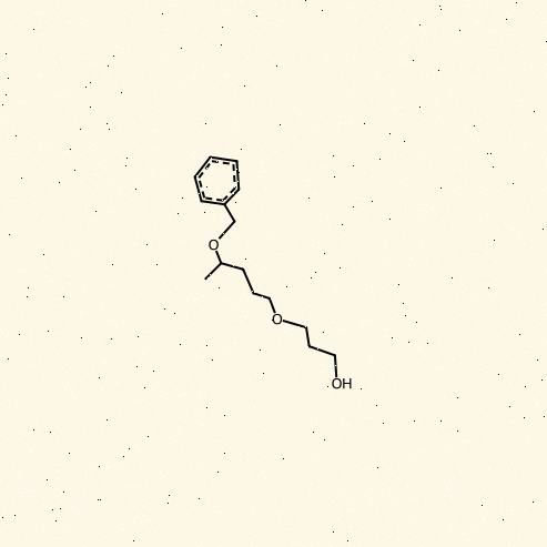 CC(CCCOCCCO)OCc1ccccc1